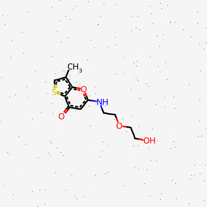 Cc1csc2c(=O)cc(NCCOCCO)oc12